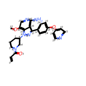 C=CC(=O)N1CCC[C@@H](n2nc(-c3ccc(Oc4ccncc4)cc3)c3c(N)ncc(OC)c32)C1